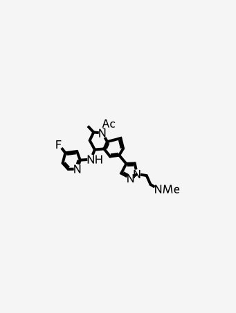 CNCCn1cc(-c2ccc3c(c2)C(Nc2cc(F)ccn2)CC(C)N3C(C)=O)cn1